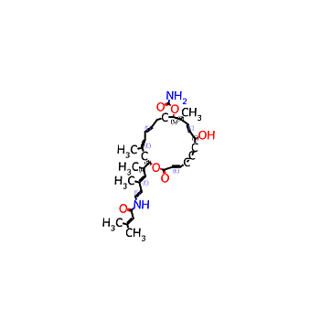 CC(C)=CC(=O)N/C=C/C(C)=C/[C@@H](C)[C@H]1C/C(C)=C/C=C/CC[C@H](OC(N)=O)[C@@H](C)/C=C/[C@@H](O)CCC/C=C/C(=O)O1